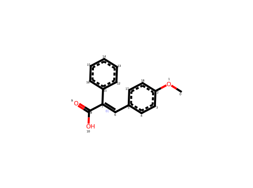 COc1ccc(/C=C(/C(=O)O)c2ccccc2)cc1